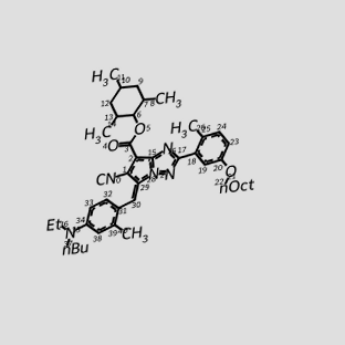 [C-]#[N+]c1c(C(=O)OC2C(C)CC(C)CC2C)c2nc(-c3cc(OCCCCCCCC)ccc3C)nn2/c1=C/c1ccc(N(CC)CCCC)cc1C